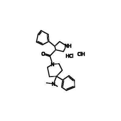 CN(C)C1(c2ccccc2)CCN(C(=O)C2CNCC2c2ccccc2)CC1.Cl.Cl